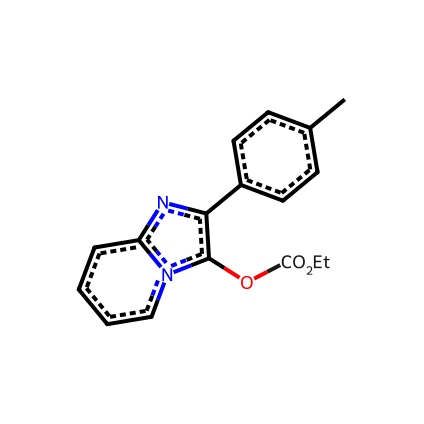 CCOC(=O)Oc1c(-c2ccc(C)cc2)nc2ccccn12